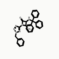 CC1C(NC(c2ccccc2)(c2ccccc2)c2ccccc2)C(=O)N1c1nnn(Cc2ccccc2)n1